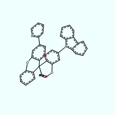 c1ccc(-c2ccc3c(c2)Oc2ccccc2C32c3ccccc3Oc3cc(-n4c5ccccc5c5ccccc54)ccc32)nc1